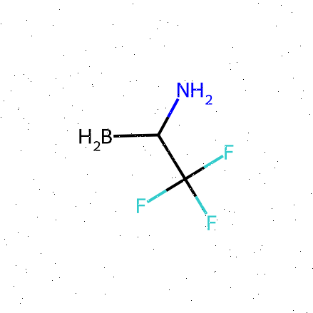 BC(N)C(F)(F)F